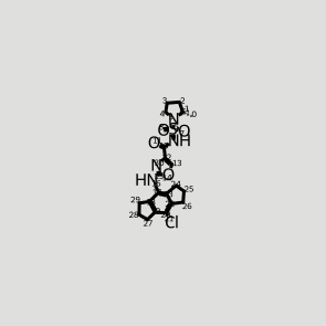 C[C@H]1CCCN1S(=O)(=O)NC(=O)c1coc(Nc2c3c(c(Cl)c4c2CCC4)CCC3)n1